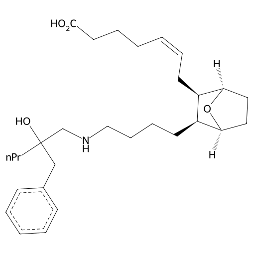 CCCC(O)(CNCCCC[C@H]1[C@@H](C/C=C\CCCC(=O)O)[C@H]2CC[C@@H]1O2)Cc1ccccc1